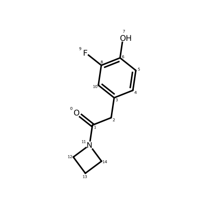 O=C(Cc1ccc(O)c(F)c1)N1CCC1